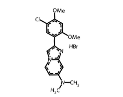 Br.COc1cc(OC)c(-c2cn3ccc(N(C)C)cc3n2)cc1Cl